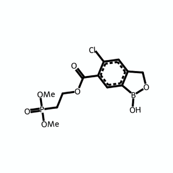 COP(=O)(CCOC(=O)c1cc2c(cc1Cl)COB2O)OC